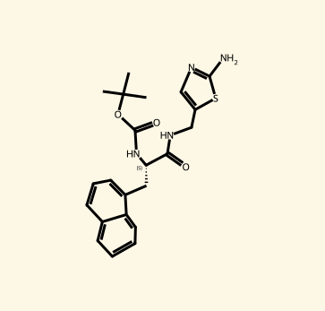 CC(C)(C)OC(=O)N[C@@H](Cc1cccc2ccccc12)C(=O)NCc1cnc(N)s1